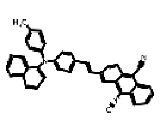 [C-]#[N+]c1c2ccccc2c(C#N)c2ccc(C=Cc3ccc(N(c4ccc(C)cc4)c4cccc5ccccc45)cc3)cc12